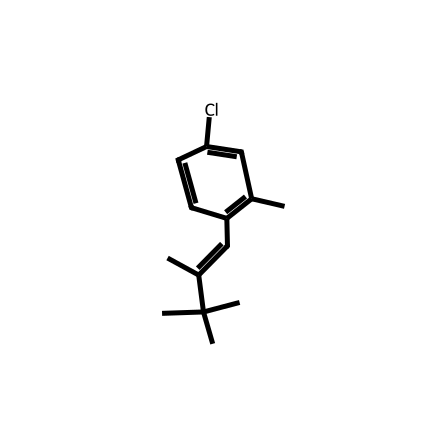 C/C(=C\c1ccc(Cl)cc1C)C(C)(C)C